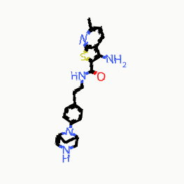 Cc1ccc2c(N)c(C(=O)NCCc3ccc(N4C5=CNCC4C5)cc3)sc2n1